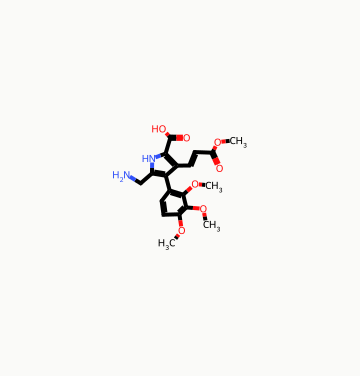 COC(=O)C=Cc1c(C(=O)O)[nH]c(CN)c1-c1ccc(OC)c(OC)c1OC